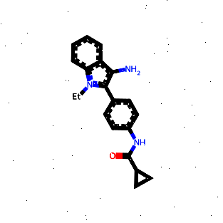 CCn1c(-c2ccc(NC(=O)C3CC3)cc2)c(N)c2ccccc21